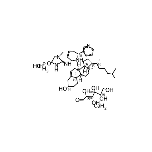 C1=CC[C@@H](c2cccnc2)NC1.CC(C)CCC[C@@H](C)[C@H]1CC[C@H]2[C@@H]3CC=C4C[C@@H](O)CC[C@]4(C)[C@H]3CC[C@]12C.CN1CC(=O)NC1=N.Cl.O=C[C@H](O)[C@@H](O)[C@H](O)[C@H](O)CO.P.[CaH2].[KH]